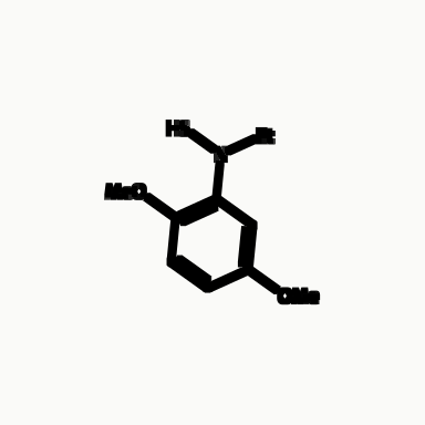 CCN(S)c1cc(OC)ccc1OC